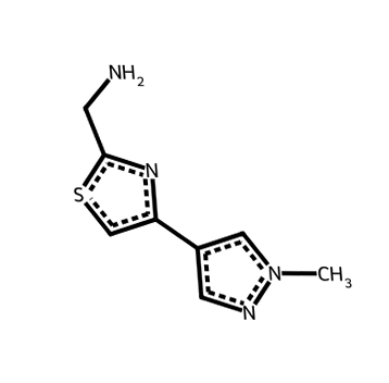 Cn1cc(-c2csc(CN)n2)cn1